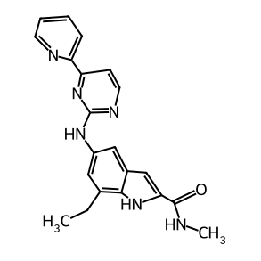 CCc1cc(Nc2nccc(-c3ccccn3)n2)cc2cc(C(=O)NC)[nH]c12